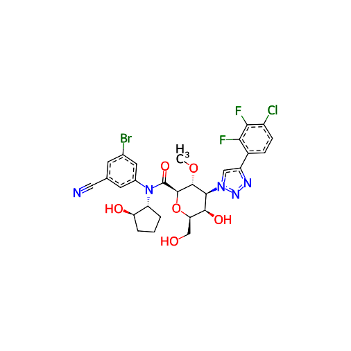 CO[C@@H]1[C@@H](n2cc(-c3ccc(Cl)c(F)c3F)nn2)[C@@H](O)[C@@H](CO)O[C@H]1C(=O)N(c1cc(Br)cc(C#N)c1)[C@@H]1CCC[C@H]1O